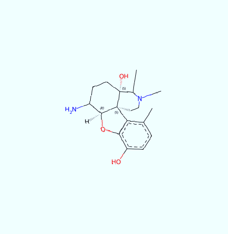 Cc1ccc(O)c2c1[C@]13CCN(C)C(C)[C@]1(O)CCC(N)[C@@H]3O2